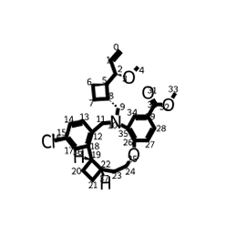 C=C[C@H](OC)[C@@H]1CC[C@H]1CN1Cc2ccc(Cl)cc2[C@H]2CC[C@H]2CCOc2ccc(C(=O)OC)cc21